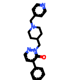 O=c1c(-c2ccccc2)ccnn1CC1CCN(Cc2ccncc2)CC1